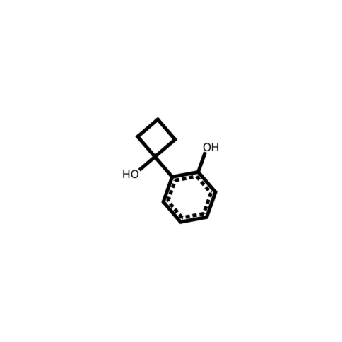 Oc1ccccc1C1(O)CCC1